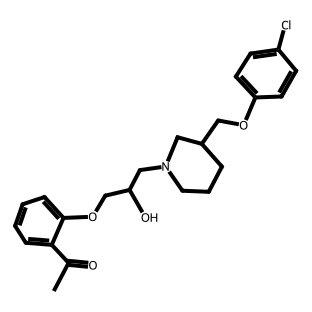 CC(=O)c1ccccc1OCC(O)CN1CCCC(COc2ccc(Cl)cc2)C1